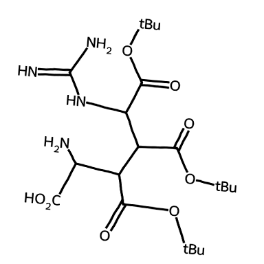 CC(C)(C)OC(=O)C(NC(=N)N)C(C(=O)OC(C)(C)C)C(C(=O)OC(C)(C)C)C(N)C(=O)O